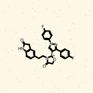 O=C1Cc2cc(CCN3C(=O)CO[C@@H]3c3cn(-c4ccc(F)cc4)nc3-c3ccc(F)cc3)ccc2N1